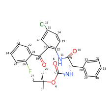 CC(C)(C)OC(=O)N[C@H](C(=O)Nc1ccc(Cl)cc1C(=O)c1ccccc1F)c1ccccc1